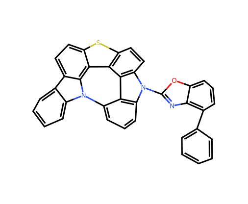 c1ccc(-c2cccc3oc(-n4c5ccc6sc7ccc8c9ccccc9n9c%10cccc4c%10c5c6c7c89)nc23)cc1